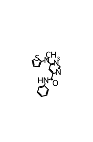 CN(c1cc(C(=O)Nc2ccccc2)ncn1)c1cccs1